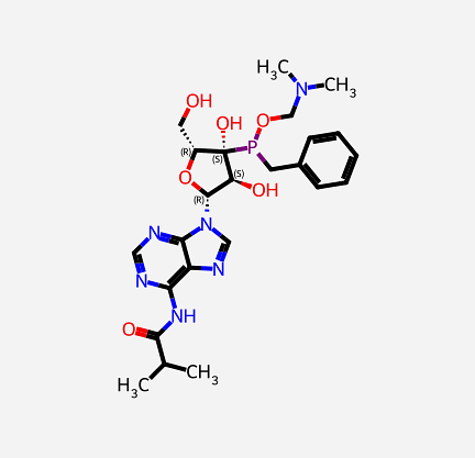 CC(C)C(=O)Nc1ncnc2c1ncn2[C@@H]1O[C@H](CO)[C@@](O)(P(Cc2ccccc2)OCN(C)C)[C@H]1O